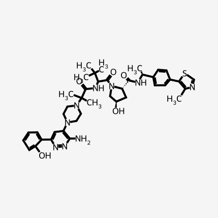 Cc1ncsc1-c1ccc([C@H](C)NC(=O)[C@@H]2C[C@@H](O)CN2C(=O)C(NC(=O)C(C)(C)N2CCN(c3cc(-c4ccccc4O)nnc3N)CC2)C(C)(C)C)cc1